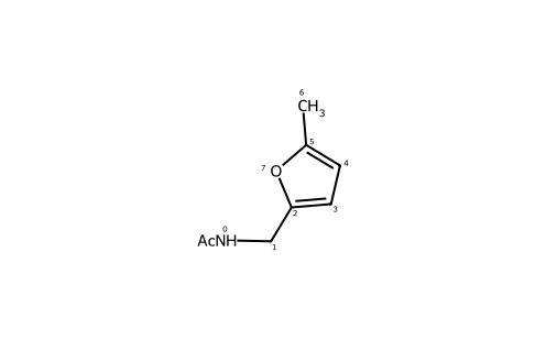 CC(=O)NCc1ccc(C)o1